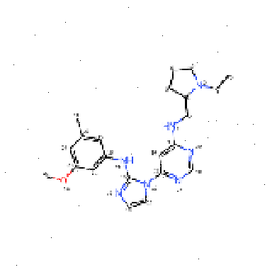 CCN1CCCC1CNc1cc(-n2ccnc2Nc2cc(C)cc(OC)c2)ncn1